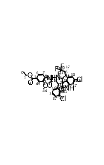 CCOC(=O)c1ccc(NC(=O)[C@@H]2N[C@@H](C[C@@H](C)C(F)(F)F)[C@@]3(C(=O)Nc4cc(Cl)ccc43)C2c2cccc(Cl)c2F)c(OC)c1